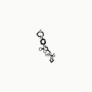 O=C1OC(CNC(=S)N2CCC2)CN1c1ccc(N2CCCSCC2)cc1